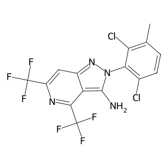 Cc1ccc(Cl)c(-n2nc3cc(C(F)(F)F)nc(C(F)(F)F)c3c2N)c1Cl